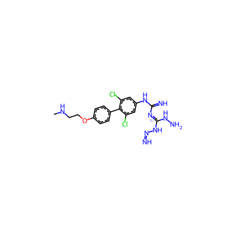 CNCCOc1ccc(-c2c(Cl)cc(NC(=N)/N=C(\NN)NN=N)cc2Cl)cc1